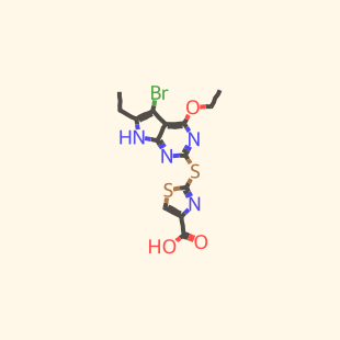 CCOc1nc(Sc2nc(C(=O)O)cs2)nc2[nH]c(CC)c(Br)c12